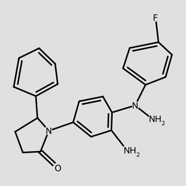 Nc1cc(N2C(=O)CCC2c2ccccc2)ccc1N(N)c1ccc(F)cc1